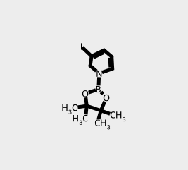 CC1(C)OB(N2C=CC=C(I)C2)OC1(C)C